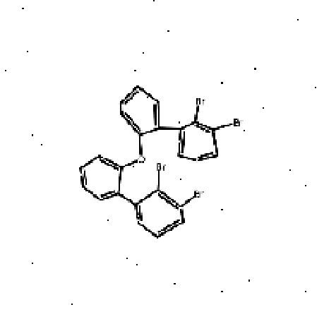 Brc1cccc(-c2ccccc2Oc2ccccc2-c2cccc(Br)c2Br)c1Br